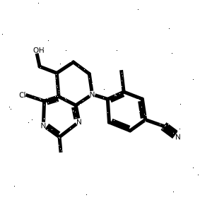 Cc1nc(Cl)c2c(n1)N(c1ccc(C#N)cc1C)CCC2CO